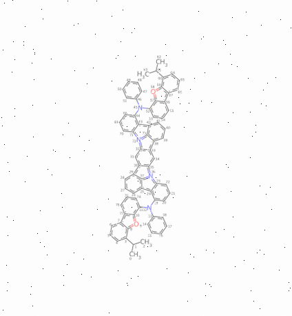 CC(C)c1cccc2c1oc1c(N(c3ccccc3)c3cccc4c3c3cccc5c6cc7c(cc6n4c53)c3cccc4c5c(N(c6ccccc6)c6cccc8c6oc6c(C(C)C)cccc68)cccc5n7c34)cccc12